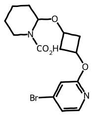 O=C(O)N1CCCCC1OC1CC(Oc2cc(Br)ccn2)C1